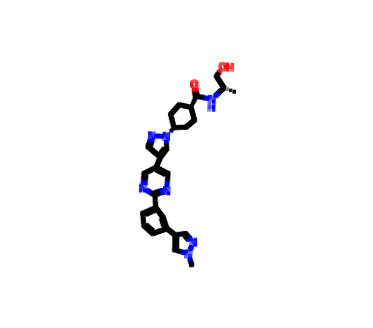 C[C@@H](CO)NC(=O)[C@H]1CC[C@H](n2cc(-c3cnc(-c4cccc(-c5cnn(C)c5)c4)nc3)cn2)CC1